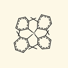 Cc1cccc(C)[c]1[Ti]([c]1c(C)cccc1C)([c]1c(C)cccc1C)[c]1c(C)cccc1C